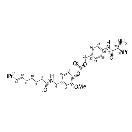 COc1cc(CNC(=O)CCCC/C=C/C(C)C)ccc1OC(=O)OCc1ccc(NC(=O)[C@@H](N)C(C)C)cc1